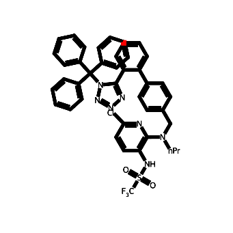 CCCN(Cc1ccc(-c2ccccc2-c2nnnn2C(c2ccccc2)(c2ccccc2)c2ccccc2)cc1)c1nc(Cl)ccc1NS(=O)(=O)C(F)(F)F